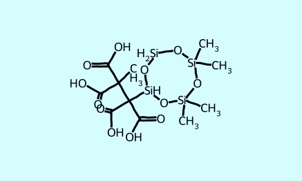 CC(C(=O)O)(C(=O)O)C(C(=O)O)(C(=O)O)[SiH]1O[SiH2]O[Si](C)(C)O[Si](C)(C)O1